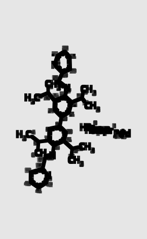 Br.Br.Br.Br.CC(C)c1cc(-c2cc(C(C)C)c(N=Cc3ccccn3)c(C(C)C)c2)cc(C(C)C)c1N=Cc1ccccn1.[Pd].[Pd]